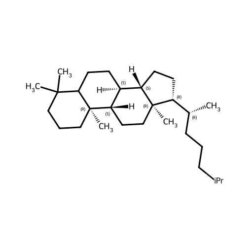 CC(C)CCC[C@@H](C)[C@H]1CC[C@H]2[C@@H]3CCC4C(C)(C)CCC[C@]4(C)[C@H]3CC[C@]12C